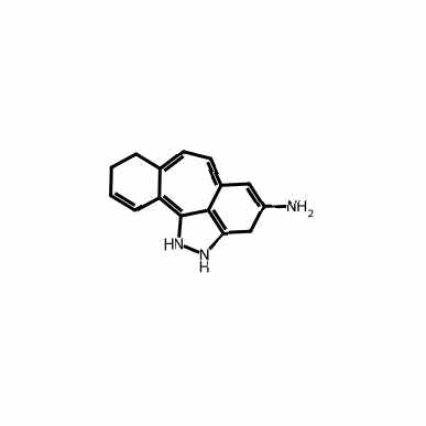 NC1=CC2=CC=C3CCC=CC3=C3NNC(=C23)C1